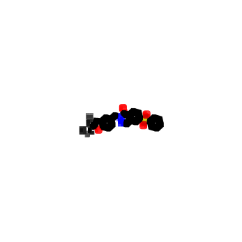 CC1(C)Cc2cc(Cn3ncc4cc(S(=O)(=O)c5ccccc5)ccc4c3=O)ccc2O1